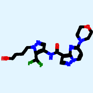 O=C(Nc1cnn(CCCCO)c1C(F)F)c1cnn2ccc(N3CCOCC3)nc12